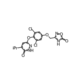 CC(C)c1cc(Oc2c(Cl)cc(OCc3noc(=O)[nH]3)cc2Cl)n[nH]c1=O